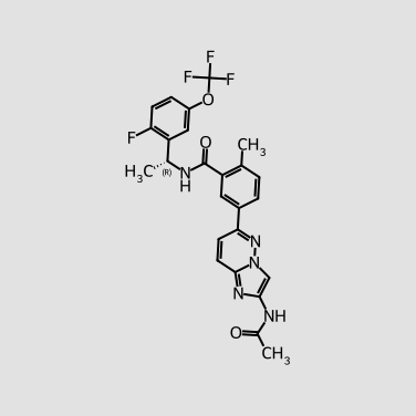 CC(=O)Nc1cn2nc(-c3ccc(C)c(C(=O)N[C@H](C)c4cc(OC(F)(F)F)ccc4F)c3)ccc2n1